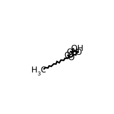 CCCCCCCCCCCCCC(=O)OC1CC(=O)N(O)C1=O